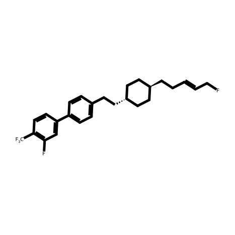 FCC=CCC[C@H]1CC[C@H](CCc2ccc(-c3ccc(C(F)(F)F)c(F)c3)cc2)CC1